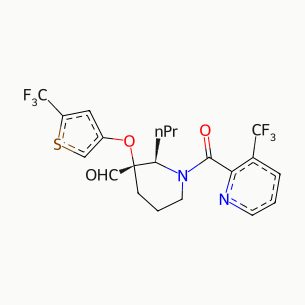 CCC[C@H]1N(C(=O)c2ncccc2C(F)(F)F)CCC[C@]1(C=O)Oc1csc(C(F)(F)F)c1